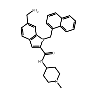 CN1CCC(NC(=O)c2cc3ccc(CN)cc3n2Cc2cccc3ccccc23)CC1